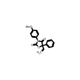 C=CC1(c2ccccc2)OC(=O)N(c2ccc(OC)cc2)C1=O